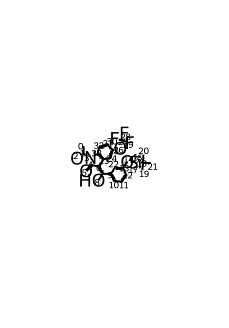 CC(=O)N1C(=O)/C(=C(\O)c2cccc(O[Si](C)(C)C(C)(C)C)c2)c2cc(OC(F)(F)F)ccc21